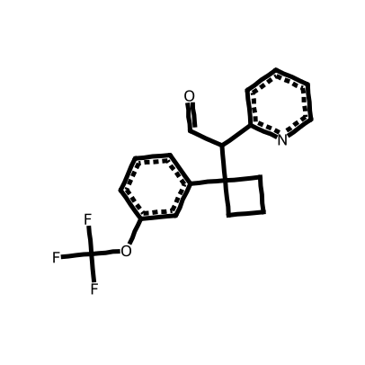 O=CC(c1ccccn1)C1(c2cccc(OC(F)(F)F)c2)CCC1